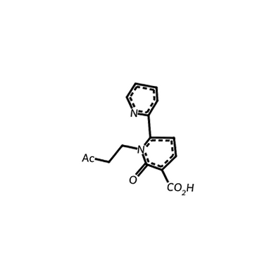 CC(=O)CCn1c(-c2ccccn2)ccc(C(=O)O)c1=O